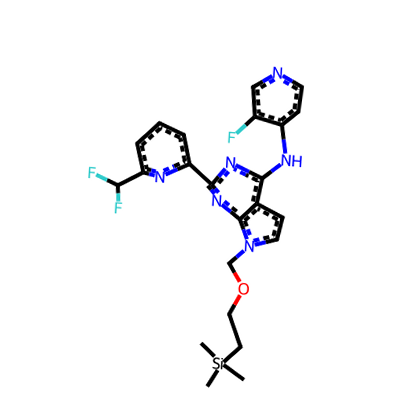 C[Si](C)(C)CCOCn1ccc2c(Nc3ccncc3F)nc(-c3cccc(C(F)F)n3)nc21